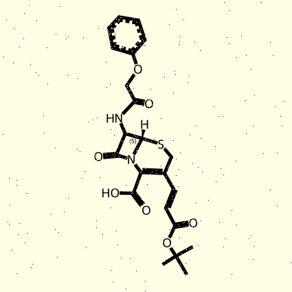 CC(C)(C)OC(=O)C=CC1=C(C(=O)O)N2C(=O)C(NC(=O)COc3ccccc3)[C@@H]2SC1